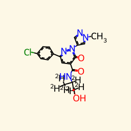 [2H]C([2H])([2H])[C@]([2H])(NC(=O)c1cc(-c2ccc(Cl)cc2)nn(-c2cnn(C)c2)c1=O)C([2H])([2H])O